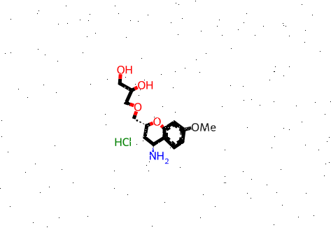 COc1ccc2c(c1)O[C@@H](COCC(O)CO)C[C@H]2N.Cl